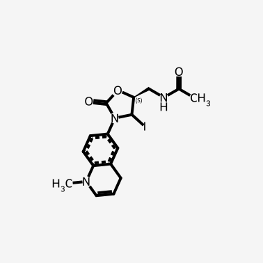 CC(=O)NC[C@@H]1OC(=O)N(c2ccc3c(c2)CC=CN3C)C1I